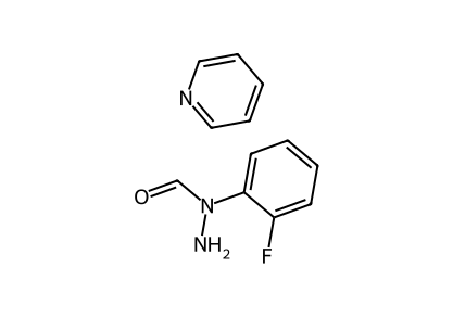 NN(C=O)c1ccccc1F.c1ccncc1